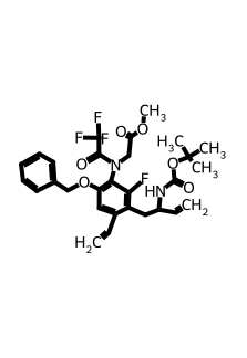 C=Cc1cc(OCc2ccccc2)c(N(CC(=O)OC)C(=O)C(F)(F)F)c(F)c1CC(C=C)NC(=O)OC(C)(C)C